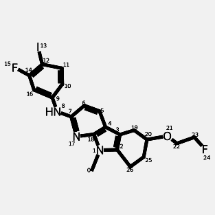 Cn1c2c(c3ccc(Nc4ccc(I)c(F)c4)nc31)CC(OCCF)CC2